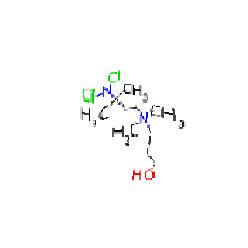 CC(C)(CC[N+](C)(C)CCCO)N(Cl)Cl